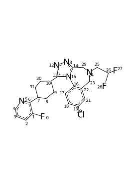 Fc1cccnc1C1CCC(c2nnc3n2-c2ccc(Cl)cc2CN(CC(F)F)C3)CC1